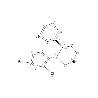 Clc1cc(Br)ccc1[C@H]1CNCC[C@@H]1c1cccnc1